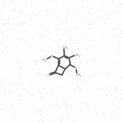 COC1=C2C(=O)CC2C(OC)C(C)=C1C